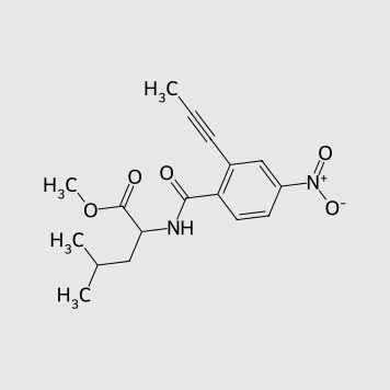 CC#Cc1cc([N+](=O)[O-])ccc1C(=O)NC(CC(C)C)C(=O)OC